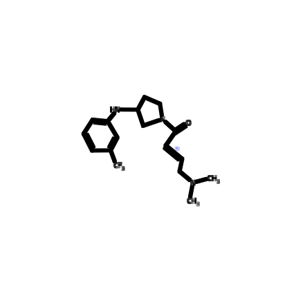 CN(C)C/C=C/C(=O)N1CCC(Nc2cccc(C(F)(F)F)c2)C1